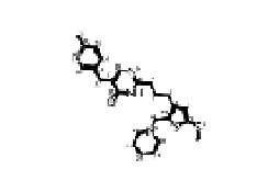 CSc1cc(CCCc2ncc(Cc3ccc(C)nc3)c(=O)[nH]2)c(CN2CCCCC2)s1